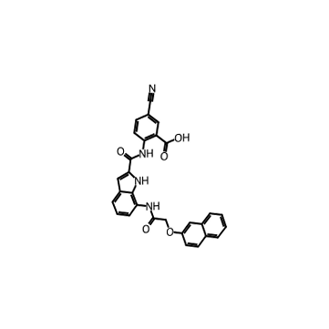 N#Cc1ccc(NC(=O)c2cc3cccc(NC(=O)COc4ccc5ccccc5c4)c3[nH]2)c(C(=O)O)c1